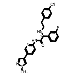 Cn1cc(-c2ccc(NC(=O)[C@@H](NCCc3ccc(C#N)cc3)c3cccc(F)c3)nc2)cn1